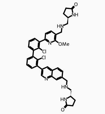 COc1nc(-c2cccc(-c3cccc(-c4cnc5cc(CNC[C@@H]6CCC(=O)N6)ccc5c4)c3Cl)c2Cl)ccc1CNC[C@H]1CCC(=O)N1